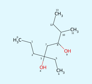 CCCC(O)(CC)CC(O)C(C)CC